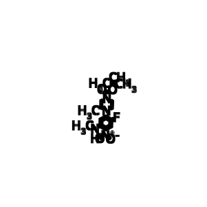 CNc1cc(N2CCN(C(=O)OC(C)(C)C)C[C@H]2C)c(F)cc1[N+](=O)[O-]